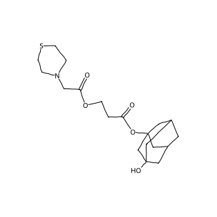 O=C(CN1CCSCC1)OCCC(=O)OC12CC3CC(CC(O)(C3)C1)C2